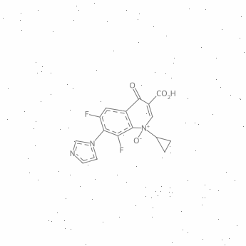 O=C(O)C1=C[N+]([O-])(C2CC2)c2c(cc(F)c(-n3ccnc3)c2F)C1=O